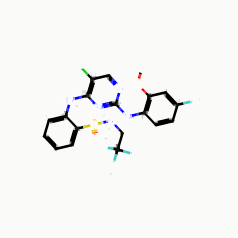 COc1cc(F)ccc1Nc1ncc(Cl)c(Nc2ccccc2S(=O)(=O)NCC(F)(F)F)n1